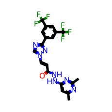 Cc1cc(NNC(=O)C=Cn2cnc(-c3cc(C(F)(F)F)cc(C(F)(F)F)c3)n2)nc(C)n1